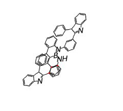 C1=CC(c2cccc3c2B(Nc2cccc(C4=Nc5ccccc5C4c4ccccc4)c2)N(c2cccc(C4=Nc5ccccc5C4c4ccccc4)c2)c2ccccc2-3)C=C1